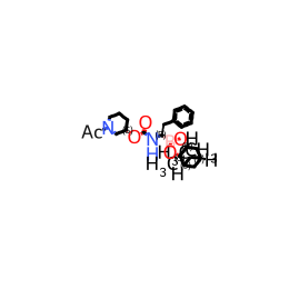 CC(=O)N1CCC[C@H](OC(=O)N[C@@H](Cc2ccccc2)B2O[C@@H]3C[C@@H]4C[C@@H](C4(C)C)[C@]3(C)O2)C1